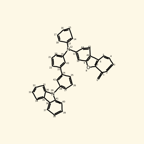 C=C1C=CC=Cc2c1oc1cc(N(c3ccccc3)c3cccc(-c4cccc(-n5c6ccccc6c6ccccc65)c4)c3)ccc21